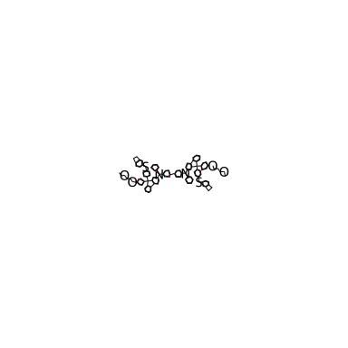 CCOCCOc1ccc(C2(c3ccc(Sc4ccc5c(c4)CC5)cc3)c3ccccc3-c3ccc(N(c4ccccc4)c4ccc(-c5ccc(N(c6ccccc6)c6ccc7c(c6)C(c6ccc(OCCCOC)cc6)(c6ccc(Sc8ccc9c(c8)CC9)cc6)c6ccccc6-7)cc5)cc4)cc32)cc1